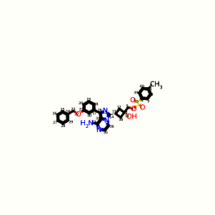 Cc1ccc(S(=O)(=O)OC[C@]2(O)C[C@@H](c3nc(-c4cccc(OCc5ccccc5)c4)c4c(N)nccn43)C2)cc1